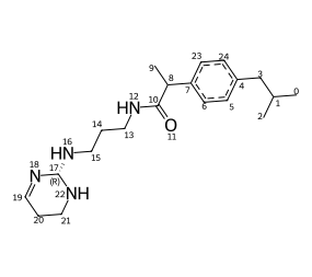 CC(C)Cc1ccc(C(C)C(=O)NCCCN[C@H]2N=CCCN2)cc1